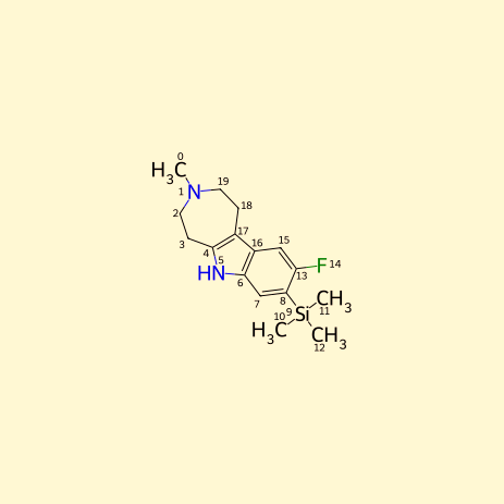 CN1CCc2[nH]c3cc([Si](C)(C)C)c(F)cc3c2CC1